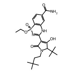 CCOP1(=O)N=C(C2=C(O)C(C(C)(C)C)N(CCC(C)(C)C)C2=O)Nc2cc(C(N)=O)ccc21